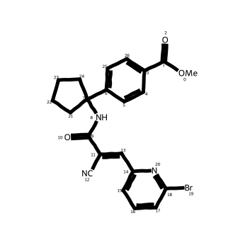 COC(=O)c1ccc(C2(NC(=O)C(C#N)=Cc3cccc(Br)n3)CCCC2)cc1